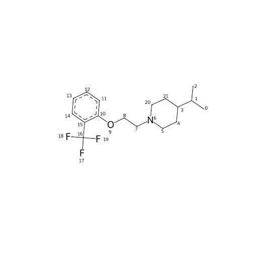 CC(C)C1CCN(CCOc2ccccc2C(F)(F)F)CC1